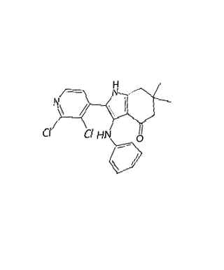 CC1(C)CC(=O)c2c([nH]c(-c3ccnc(Cl)c3Cl)c2Nc2ccccc2)C1